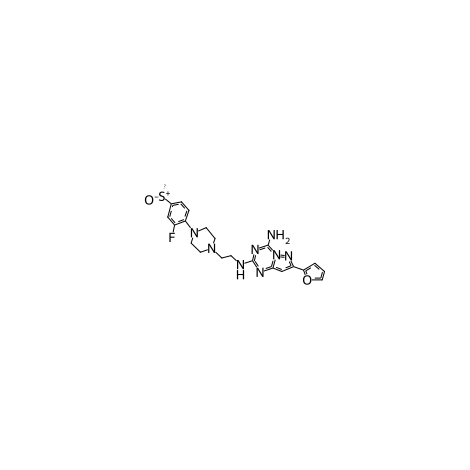 C[S@@+]([O-])c1ccc(N2CCN(CCNc3nc(N)n4nc(-c5ccco5)cc4n3)CC2)c(F)c1